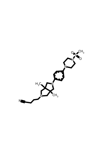 CC12CN(CCCC#N)CC1(C)CN(c1ccc(N3CCN(S(C)(=O)=O)CC3)cc1)C2